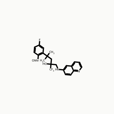 COc1ccc(F)cc1C(C)(C)CC(O)(CNc1ccc2ncccc2c1)C(F)(F)F